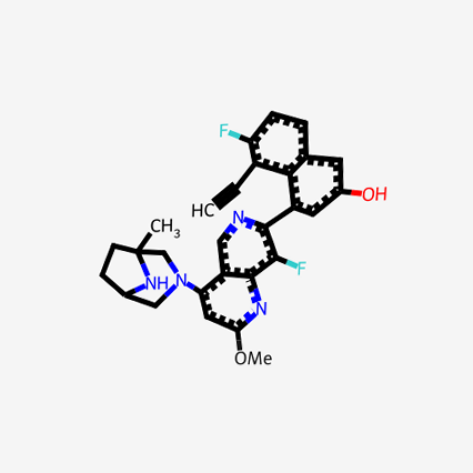 C#Cc1c(F)ccc2cc(O)cc(-c3ncc4c(N5CC6CCC(C)(C5)N6)cc(OC)nc4c3F)c12